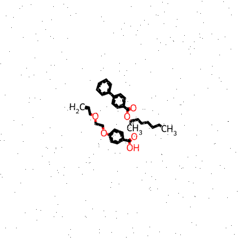 C=CCOCCOc1ccc(C(=O)O)cc1.CCCCCC[C@@H](C)OC(=O)c1ccc(-c2ccccc2)cc1